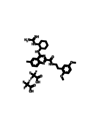 COc1ccc(OC)c(CCNC(=O)c2nc(NC3CCCCC3NC(=N)N)c3cc(C)ccc3n2)c1.O=C(O)C(F)(F)F.O=C(O)C(F)(F)F